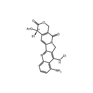 CCNc1c2c(nc3cccc(N)c13)-c1cc3c(c(=O)n1C2)COC(=O)[C@@]3(CC)OC(C)=O